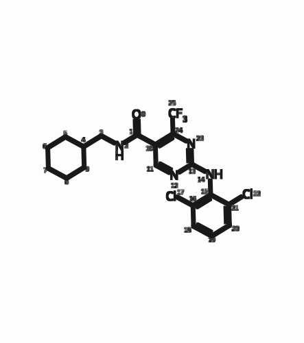 O=C(NCC1CCCCC1)c1cnc(Nc2c(Cl)cccc2Cl)nc1C(F)(F)F